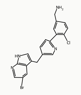 NCc1ccc(Cl)c(-c2ccc(Cc3c[nH]c4ncc(Br)cc34)cn2)c1